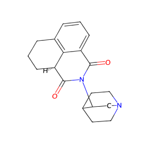 O=C1c2cccc3c2[C@H](CCC3)C(=O)N1C1CN2CCC1CC2